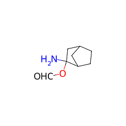 NC1(OC=O)CC2CCC1C2